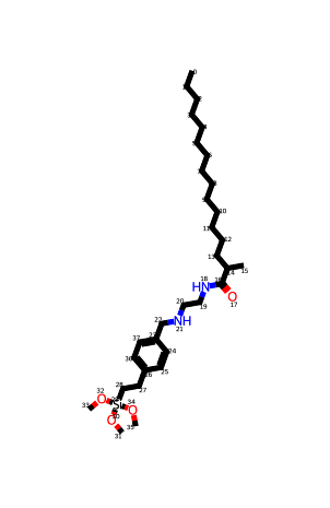 CCCCCCCCCCCCCCC(C)C(=O)NCCNCc1ccc(CC[Si](OC)(OC)OC)cc1